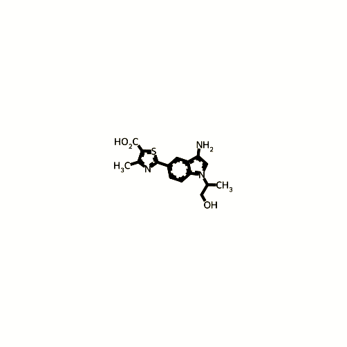 Cc1nc(-c2ccc3c(c2)c(N)cn3C(C)CO)sc1C(=O)O